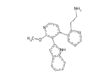 COc1nccc(-c2ccccc2CCN)c1-c1cc2ccccc2[nH]1